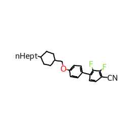 CCCCCCCC1CCC(COc2ccc(-c3ccc(C#N)c(F)c3F)cc2)CC1